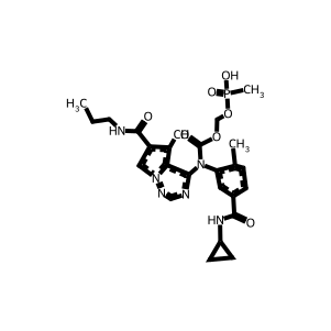 CCCNC(=O)c1cn2ncnc(N(C(=O)OCOP(C)(=O)O)c3cc(C(=O)NC4CC4)ccc3C)c2c1C